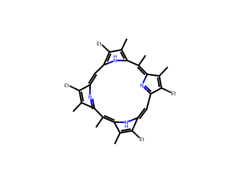 CCC1=C(C)c2nc1cc1[nH]c(c(C)c3nc(cc4[nH]c(c2C)c(C)c4CC)C(CC)=C3C)c(C)c1CC